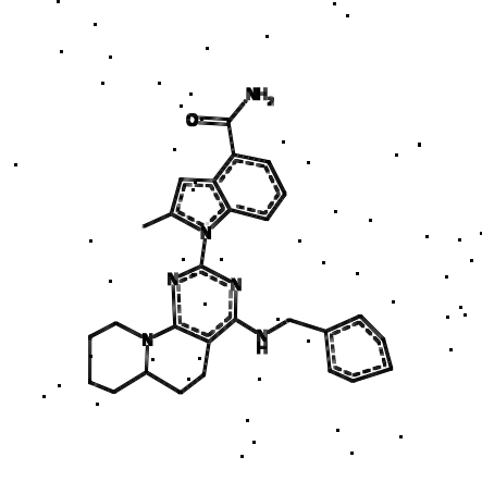 Cc1cc2c(C(N)=O)cccc2n1-c1nc(NCc2ccccc2)c2c(n1)N1CCCCC1CC2